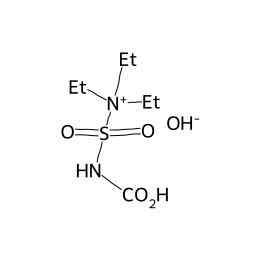 CC[N+](CC)(CC)S(=O)(=O)NC(=O)O.[OH-]